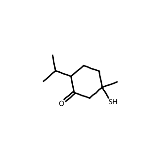 CC(C)C1CCC(C)(S)CC1=O